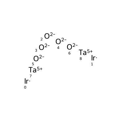 [Ir].[Ir].[O-2].[O-2].[O-2].[O-2].[O-2].[Ta+5].[Ta+5]